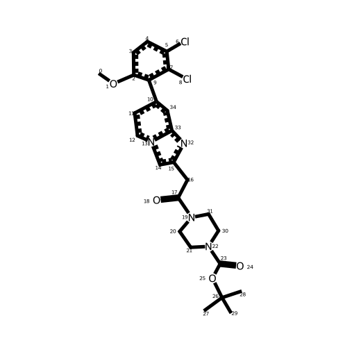 COc1ccc(Cl)c(Cl)c1-c1ccn2cc(CC(=O)N3CCN(C(=O)OC(C)(C)C)CC3)nc2c1